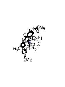 COCCN1CCN(c2cc3c(cc2C)nc(C(=O)C2(C)CCC(NC(=O)OC)CC2)n3/C(=C\C(=O)O)C(=O)O)[C@@H](C)C1